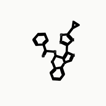 O=C(OC1Oc2ccccc2-n2cnc(-c3noc(C4CC4)n3)c21)c1ccccc1